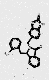 Cc1ccccc1CC1c2ccccc2C(=O)N1Cc1ccc2[nH]c(=O)oc2c1